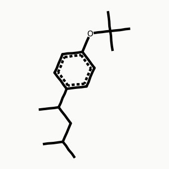 CC(C)CC(C)c1ccc(OC(C)(C)C)cc1